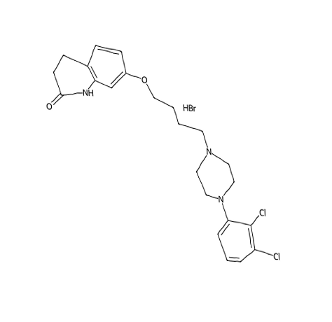 Br.O=C1CCc2ccc(OCCCCN3CCN(c4cccc(Cl)c4Cl)CC3)cc2N1